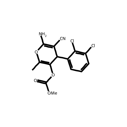 COC(=O)OC1=C(C)OC(N)=C(C#N)C1c1cccc(Cl)c1Cl